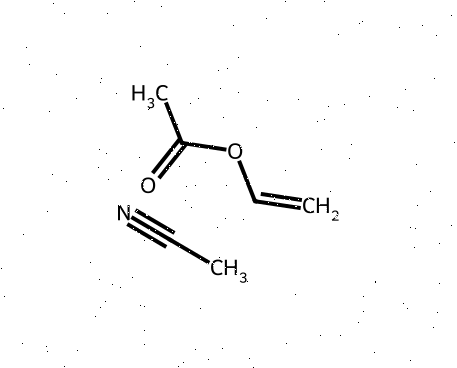 C=COC(C)=O.CC#N